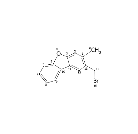 Cc1cc2oc3ccccc3c2cc1CBr